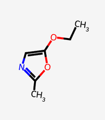 CCOc1cnc(C)o1